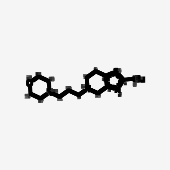 CC(C)(C)c1nc2c(s1)CCN(CCCN1CCOCC1)C2